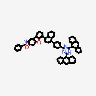 c1ccc(-c2nc3cc4c(cc3o2)oc2c(-c3ccc(-c5ccc(-c6nc(-c7c8ccccc8cc8ccccc78)nc(-c7c8ccccc8cc8ccccc78)n6)cc5)c5ccccc35)cccc24)cc1